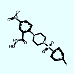 O=C(NO)c1cc([N+](=O)[O-])ccc1N1CCN(S(=O)(=O)c2ccc(I)cc2)CC1